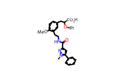 COc1ccc(CC(OC(C)C)C(=O)O)cc1CCNC(=O)c1cc(-c2ccccc2)n(C)n1